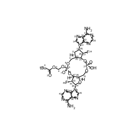 CC(C)(C)C(=O)OCOP1(=O)OC[C@H]2C[C@@H](n3cnc4c(N)ncnc43)[C@@H](F)C2OP(=O)(O)OC[C@H]2O[C@@H](n3cnc4c(N)ncnc43)[C@@H](F)[C@H]2O1